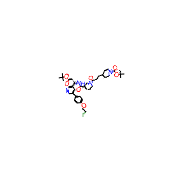 CC(C)(C)OC(=O)C[C@H](NC(=O)[C@@H]1CCCN(C(=O)CCC2CCN(C(=O)OC(C)(C)C)CC2)C1)c1cncc(-c2ccc(OCCF)cc2)c1